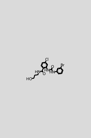 O=C(Nc1cccc(Br)c1)Nc1cc(Cl)ccc1C(=O)NCCCO